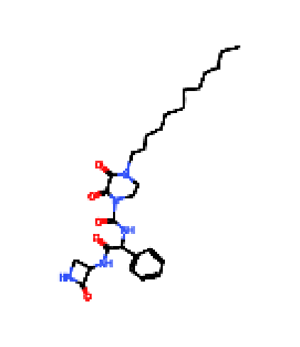 CCCCCCCCCCCCN1CCN(C(=O)NC(C(=O)NC2CNC2=O)c2ccccc2)C(=O)C1=O